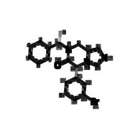 C[C@@H](c1ccccc1)N1Cc2cncn2[C@H](c2cccc(Br)c2)C1=O